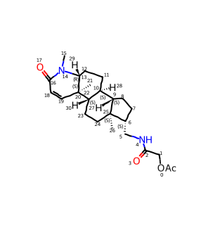 CC(=O)OCC(=O)NC[C@H]1CC[C@H]2[C@@H]3CC[C@H]4N(C)C(=O)C=C[C@]4(C)[C@H]3CC[C@]12C